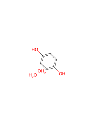 O.O.Oc1ccc(O)cc1